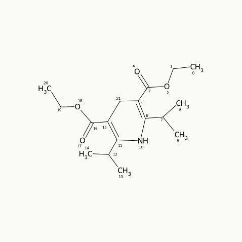 CCOC(=O)C1=C(C(C)C)NC(C(C)C)=C(C(=O)OCC)C1